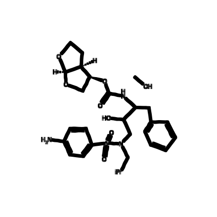 CC(C)CN(CC(O)C(Cc1ccccc1)NC(=O)O[C@H]1CO[C@H]2OCC[C@H]21)S(=O)(=O)c1ccc(N)cc1.CO